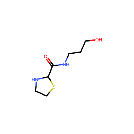 O=C(NCCCO)C1NCCS1